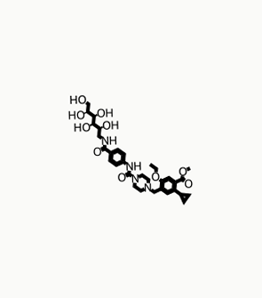 CCOc1cc(C(=O)OC)c(C2CC2)cc1CN1CCN(C(=O)Nc2ccc(C(=O)NC[C@H](O)[C@@H](O)[C@H](O)[C@H](O)CO)cc2)CC1